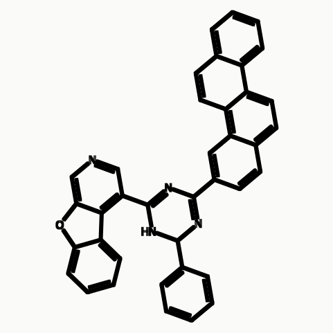 c1ccc(C2N=C(c3ccc4ccc5c6ccccc6ccc5c4c3)N=C(c3cncc4oc5ccccc5c34)N2)cc1